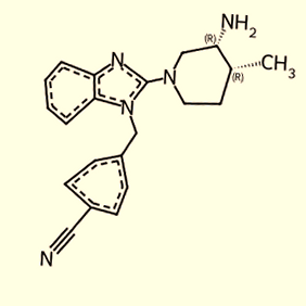 C[C@@H]1CCN(c2nc3ccccc3n2Cc2ccc(C#N)cc2)C[C@@H]1N